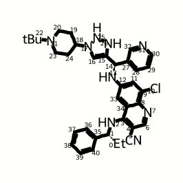 CC[C@@H](Nc1c(C#N)cnc2c(Cl)cc(N[C@H](C3=CN(C4CCN(C(C)(C)C)CC4)NN3)c3cccnc3)cc12)c1ccccc1